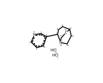 Cl.Cl.c1cncc(C2CCC3CCN2CC3)c1